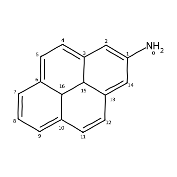 NC1=CC2=CC=C3C=CC=C4C=CC(=C1)C2C43